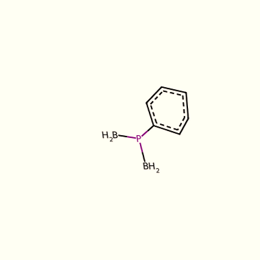 BP(B)c1ccccc1